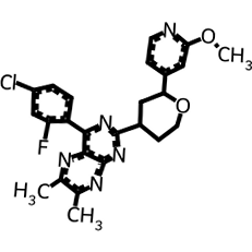 COc1cc(C2CC(c3nc(-c4ccc(Cl)cc4F)c4nc(C)c(C)nc4n3)CCO2)ccn1